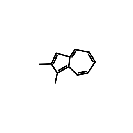 Cc1c(I)cc2cccccc1-2